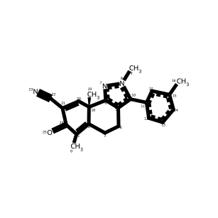 CC1=C2CCc3c(nn(C)c3-c3cccc(C)c3)[C@@]2(C)C=C(C#N)C1=O